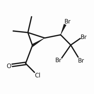 CC1(C)C(C(=O)Cl)[C@@H]1[C@@H](Br)C(Br)(Br)Br